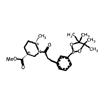 COC(=O)[C@@H]1CC[C@H](C)N(C(=O)Cc2cccc(B3OC(C)(C)C(C)(C)O3)c2)C1